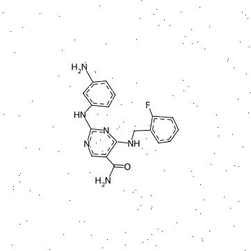 NC(=O)c1cnc(Nc2cccc(N)c2)nc1NCc1ccccc1F